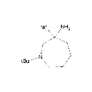 CC(C)(C)N1CCCCC(N)(C#N)C1